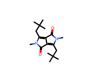 CN1C(=O)C2=C(CC(C)(C)C)N(C)C(=O)C2=C1CC(C)(C)C